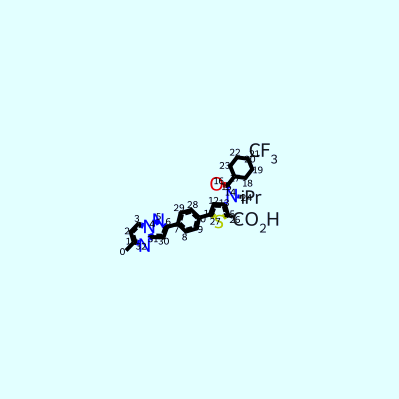 Cc1ccn2nc(-c3ccc(-c4cc(N(C(=O)C5CCC(C(F)(F)F)CC5)C(C)C)c(C(=O)O)s4)cc3)cc2n1